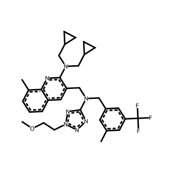 COCCn1nnc(N(Cc2cc(C)cc(C(F)(F)F)c2)Cc2cc3cccc(C)c3nc2N(CC2CC2)CC2CC2)n1